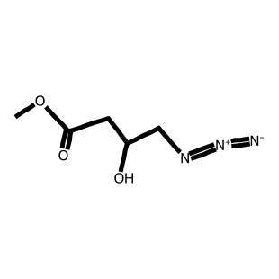 COC(=O)CC(O)CN=[N+]=[N-]